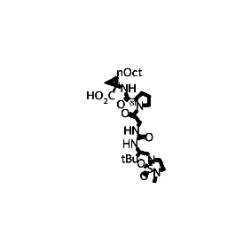 CCCCCCCCC1C[C@]1(NC(=O)[C@@H]1CCCN1C(=O)CNC(=O)NC(CN1CCN(C)S1(=O)=O)C(C)(C)C)C(=O)O